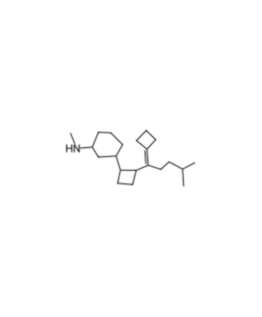 CNC1CCCC(C2CCC2C(CCC(C)C)=C2CCC2)C1